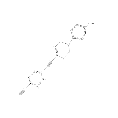 CCc1ccc(C2CC=C(C#Cc3ccc(C#N)cc3)CC2)cc1